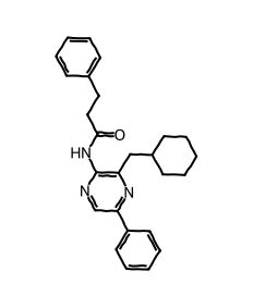 O=C(CCc1ccccc1)Nc1ncc(-c2ccccc2)nc1CC1CCCCC1